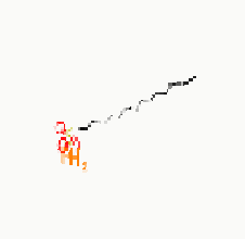 CCCCCCCCCCCCCCCS(=O)(=O)OP